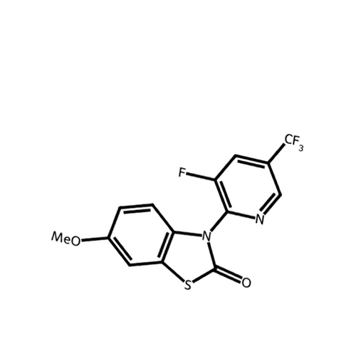 COc1ccc2c(c1)sc(=O)n2-c1ncc(C(F)(F)F)cc1F